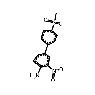 CS(=O)(=O)c1ccc(-c2ccc(N)c([N+](=O)[O-])c2)cc1